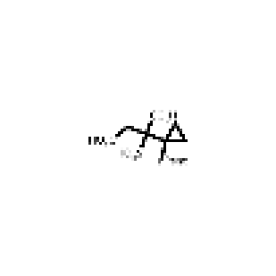 CCCCCC1(C(CC(=O)O)(C(=O)O)S(=O)(=O)O)CC1